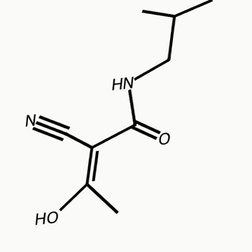 CC(O)=C(C#N)C(=O)NCC(C)C